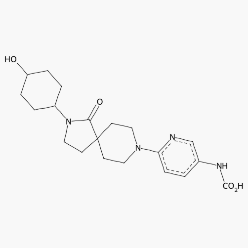 O=C(O)Nc1ccc(N2CCC3(CC2)CCN(C2CCC(O)CC2)C3=O)nc1